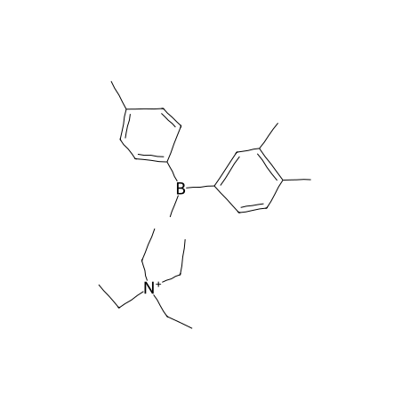 CB(c1ccc(C)cc1)c1ccc(C)c(C)c1.CC[N+](CC)(CC)CC